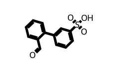 O=Cc1ccccc1-c1cccc(S(=O)(=O)O)c1